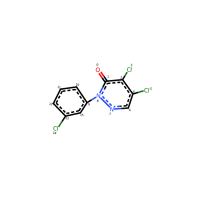 O=c1c(Cl)c(Cl)cnn1-c1cccc(Cl)c1